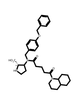 O=C(O)[C@H]1NCCC1N(Cc1ccc(OCc2ccccc2)cc1)C(=O)CCCC(=O)N1CCCC2CCCCC21